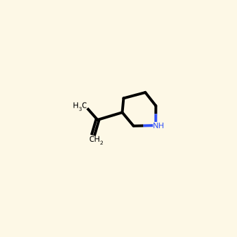 C=C(C)C1CCCNC1